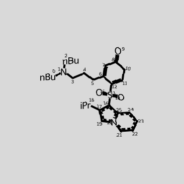 CCCCN(CCCC)CCCC1=CC(=O)CC=C1S(=O)(=O)c1c(C(C)C)cn2ccccc12